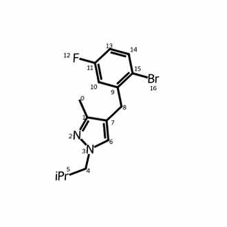 Cc1nn(CC(C)C)cc1Cc1cc(F)ccc1Br